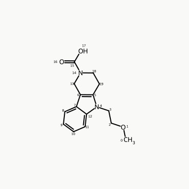 COCCn1c2c(c3ccccc31)CN(C(=O)O)CC2